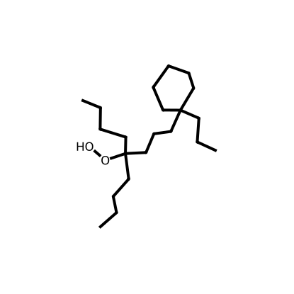 CCCCC(CCCC)(CCCC1(CCC)CCCCC1)OO